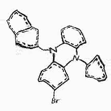 Brc1ccc2c(c1)N(c1ccccc1)c1ccccc1N2c1ccc2ccccc2c1